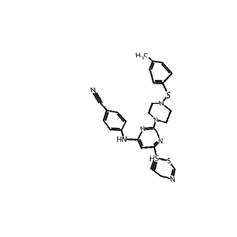 Cc1ccc(SN2CCN(c3nc(Nc4ccc(C#N)cc4)cc([SH]4#CCN=CS4)n3)CC2)cc1